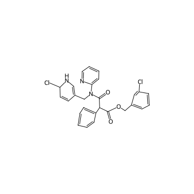 O=C(OCc1cccc(Cl)c1)C(C(=O)N(CC1=CNC(Cl)C=C1)c1ccccn1)c1ccccc1